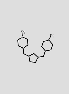 CN1CCC(CN2CCC(CN3CCN(C)CC3)C2)CC1